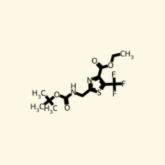 CCOC(=O)c1nc(CNC(=O)OC(C)(C)C)sc1C(F)(F)F